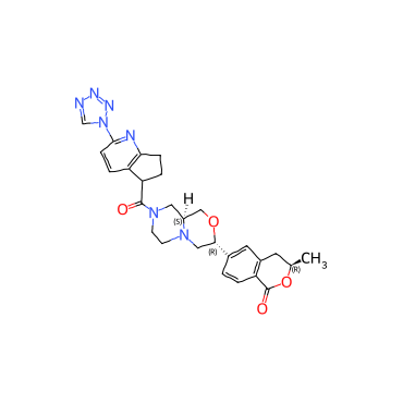 C[C@@H]1Cc2cc([C@@H]3CN4CCN(C(=O)C5CCc6nc(-n7cnnn7)ccc65)C[C@H]4CO3)ccc2C(=O)O1